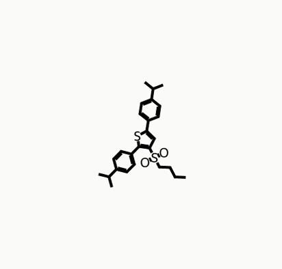 CCCCS(=O)(=O)c1cc(-c2ccc(C(C)C)cc2)sc1-c1ccc(C(C)C)cc1